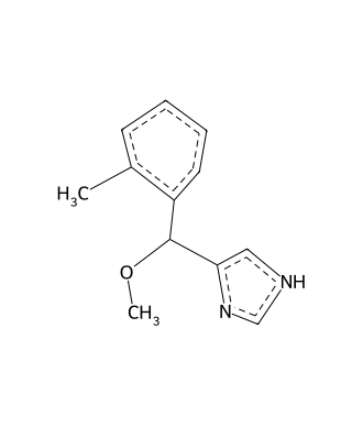 COC(c1c[nH]cn1)c1ccccc1C